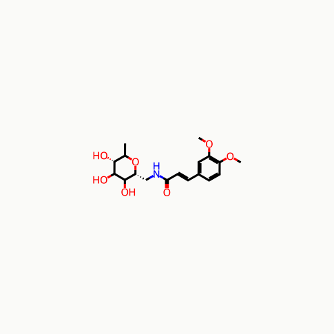 COc1ccc(/C=C/C(=O)NC[C@H]2OC(C)[C@@H](O)C(O)C2O)cc1OC